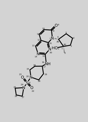 C[C@@]1(O)CCC[C@H]1n1c(=O)ccc2cnc(NC3CCN(S(=O)(=O)N4CCC4)CC3)nc21